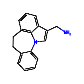 NCc1cn2c3c(cccc13)CCc1ccccc1-2